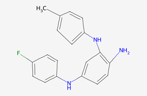 Cc1ccc(Nc2cc(Nc3ccc(F)cc3)ccc2N)cc1